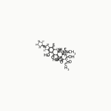 CC(=O)C1=C(O)[C@@H](N(C)C)[C@@H]2C[C@@H]3Cc4c(F)c5c(c(O)c4C(=O)C3=C(O)[C@]2(O)C1=O)CN(C1CCCC1)C5